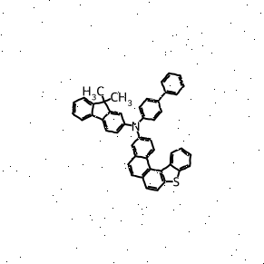 CC1(C)c2ccccc2-c2ccc(N(c3ccc(-c4ccccc4)cc3)c3ccc4c(ccc5ccc6sc7ccccc7c6c54)c3)cc21